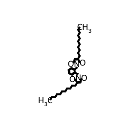 CCCCCCCCCCCC1=CC(=O)N(Cc2ccccc2CN2C(=O)C=C(CCCCCCCCCCC)C2=O)C1=O